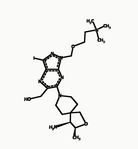 C[C@@H]1OCC2(CCN(c3nc4c(nc3CO)c(I)nn4COCC[Si](C)(C)C)CC2)[C@@H]1N